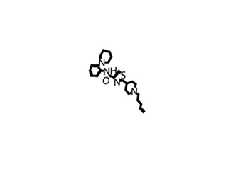 C=CCCCN1CCC(c2nc(C(=O)Nc3ccccc3N3CCCCC3)cs2)CC1